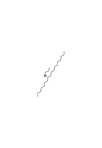 CCCBr.CCCCCCCCCCCCCCCCCC